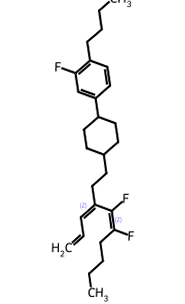 C=C/C=C(CCC1CCC(c2ccc(CCCC)c(F)c2)CC1)\C(F)=C(\F)CCCC